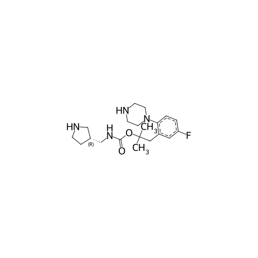 CC(C)(Cc1cc(F)ccc1N1CCNCC1)OC(=O)NC[C@@H]1CCNC1